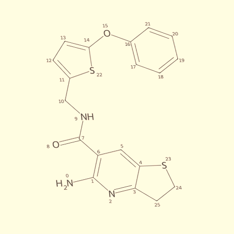 Nc1nc2c(cc1C(=O)NCc1ccc(Oc3ccccc3)s1)SCC2